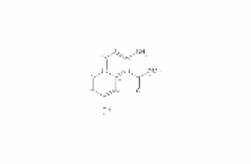 COC(=O)c1c(N)ccc2ccc(O)cc12